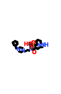 O=C(NCCCN1CCN(Cc2ccccc2)CC1)C1=CC2CNC3=CC=CC(=C1S(=O)(=O)O)N32